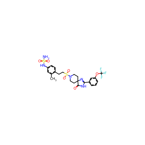 Cc1cc(NS(N)(=O)=O)ccc1CCS(=O)(=O)N1CCC2(CC1)N=C(c1cccc(OC(F)(F)F)c1)NC2=O